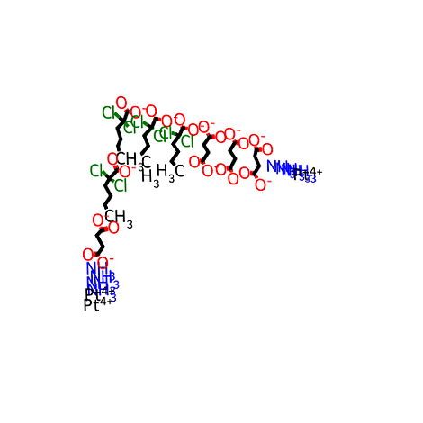 CCCCC(Cl)(Cl)C(=O)[O-].CCCCC(Cl)(Cl)C(=O)[O-].CCCCC(Cl)(Cl)C(=O)[O-].CCCCC(Cl)(Cl)C(=O)[O-].N.N.N.N.N.N.N.N.O=C([O-])CCC(=O)[O-].O=C([O-])CCC(=O)[O-].O=C([O-])CCC(=O)[O-].O=C([O-])CCC(=O)[O-].[Pt+4].[Pt+4].[Pt+4]